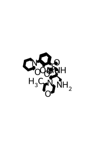 COc1c(N2CCCCC2=O)cccc1S(=O)(=O)N[C@@H](CN)C(=O)N1CCOC[C@@H]1C